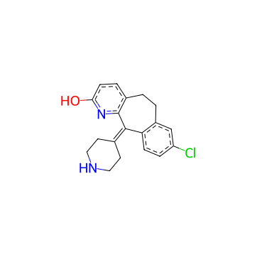 Oc1ccc2c(n1)C(=C1CCNCC1)c1ccc(Cl)cc1CC2